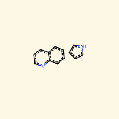 c1cc[nH]c1.c1ccc2ncccc2c1